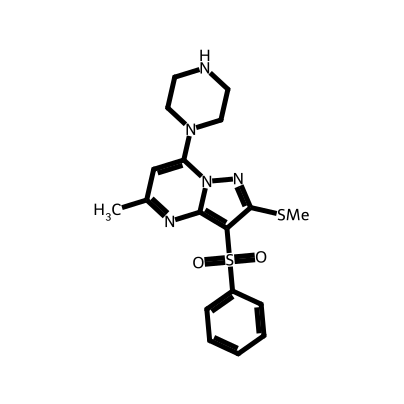 CSc1nn2c(N3CCNCC3)cc(C)nc2c1S(=O)(=O)c1ccccc1